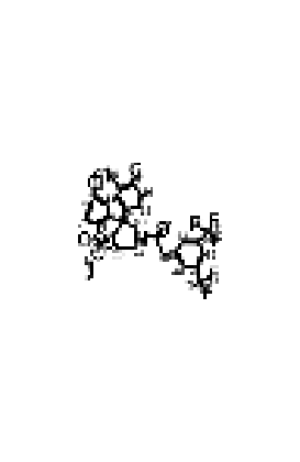 CCOS(=O)(=O)c1ccc(Cl)cc1C1(c2ccc(Cl)c(Cl)c2)CCCN(C(=O)Cc2cc(C(F)(F)F)cc(C(F)(F)F)c2)C1